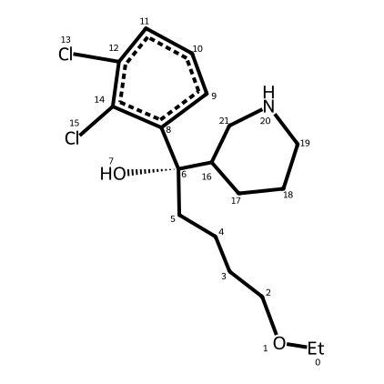 CCOCCCC[C@@](O)(c1cccc(Cl)c1Cl)C1CCCNC1